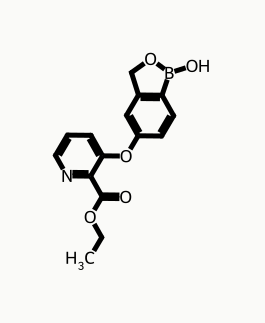 CCOC(=O)c1ncccc1Oc1ccc2c(c1)COB2O